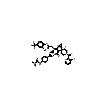 CN(C)C(=O)NC1CC=C(c2nc3n(CC(=O)Nc4ccc(C(F)(F)F)cc4Cl)c4c(c(=O)n3n2)C2(CCN(C(=O)c3ncccc3O)CC2)[C@@H]2C[C@H]42)CC1